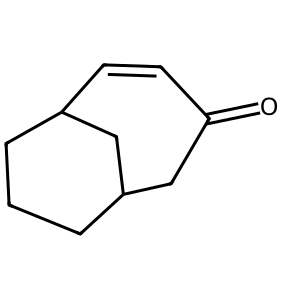 O=C1C=CC2CCCC(C1)C2